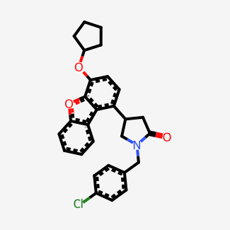 O=C1CC(c2ccc(OC3CCCC3)c3oc4ccccc4c23)CN1Cc1ccc(Cl)cc1